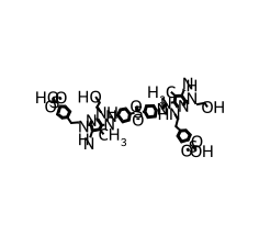 Cc1c(C#N)c(NCCc2ccc(S(=O)(=O)O)cc2)nc(NCCO)c1/N=N/c1ccc(S(=O)(=O)c2ccc(/N=N/c3c(NCCc4ccc(S(=O)(=O)O)cc4)nc(NCCO)c(C#N)c3C)cc2)cc1